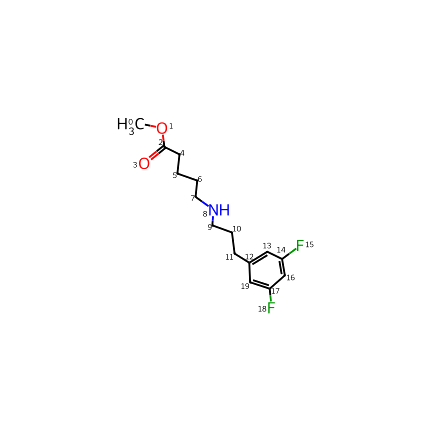 COC(=O)CCCCNCCCc1cc(F)cc(F)c1